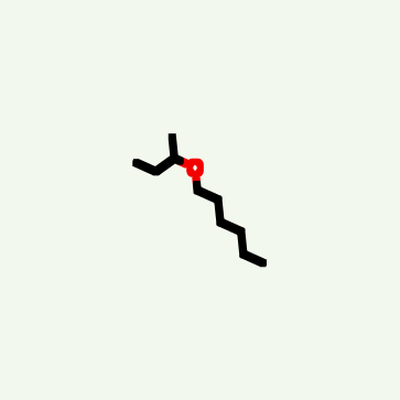 CCCCCCOC(C)CC